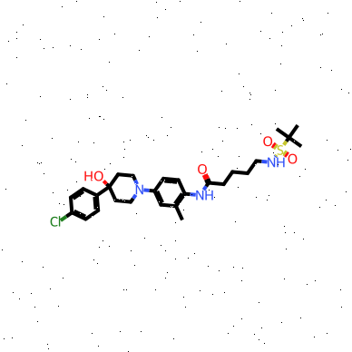 Cc1cc(N2CCC(O)(c3ccc(Cl)cc3)CC2)ccc1NC(=O)CCCCNS(=O)(=O)C(C)(C)C